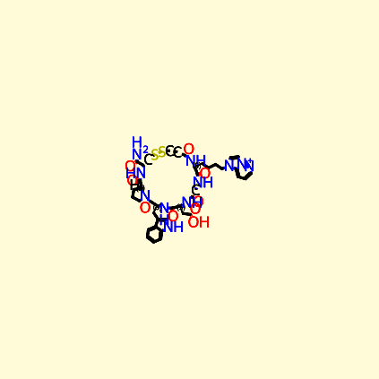 NC(=O)C1CSSCCC(=O)N[C@@H](CCCCn2cc[n+]3ncccc23)C(=O)NCC(=O)N[C@@H](CC(=O)O)C(=O)N[C@@H](Cc2c[nH]c3ccccc23)C(=O)N2CCC[C@H]2C(=O)N1